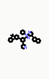 CC1(C)c2ccccc2-c2cc(-c3cc(-c4cccnc4)cc(-c4nc5c(-c6ccc7ccccc7c6)ccnc5n4-c4ccccc4)c3)ccc21